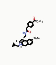 COC(=O)c1ccc(CC(=O)NCC[C@]23CCN(CC4CC4)[C@H](Cc4ccc(OC)cc42)[C@@H]3C)cc1